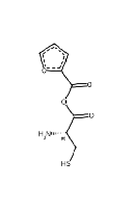 N[C@@H](CS)C(=O)OC(=O)c1ccco1